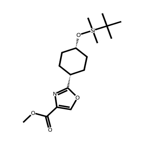 COC(=O)c1coc([C@H]2CC[C@@H](O[Si](C)(C)C(C)(C)C)CC2)n1